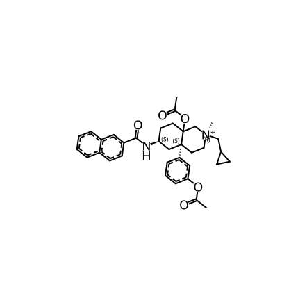 CC(=O)Oc1cccc([C@@]23CC[N@+](C)(CC4CC4)CC2(OC(C)=O)CC[C@H](NC(=O)c2ccc4ccccc4c2)C3)c1